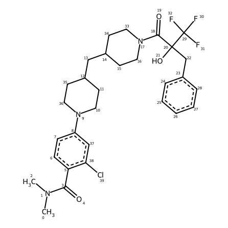 CN(C)C(=O)c1ccc(N2CCC(CC3CCN(C(=O)C(O)(Cc4ccccc4)C(F)(F)F)CC3)CC2)cc1Cl